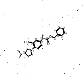 CN(C)[C@H]1CCN(c2ccc(NC(=O)OCc3ccccc3)cc2N)C1